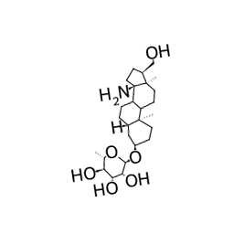 C[C@@H]1O[C@@H](O[C@@H]2CC[C@]3(C)C4CC[C@]5(C)[C@H](CO)CC[C@@]5(N)C4CC[C@H]3C2)[C@H](O)[C@H](O)[C@H]1O